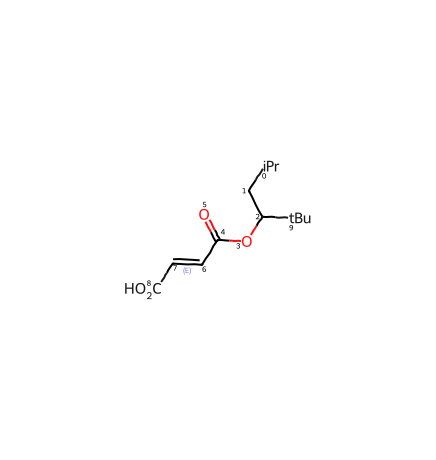 CC(C)CC(OC(=O)/C=C/C(=O)O)C(C)(C)C